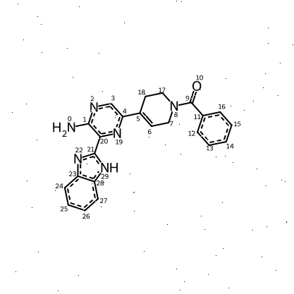 Nc1ncc(C2=CCN(C(=O)c3ccccc3)CC2)nc1-c1nc2ccccc2[nH]1